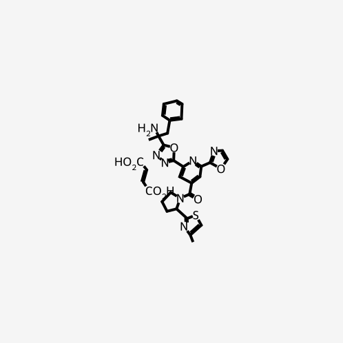 Cc1csc(C2CCCN2C(=O)c2cc(-c3ncco3)nc(-c3nnc(C(C)(N)Cc4ccccc4)o3)c2)n1.O=C(O)C=CC(=O)O